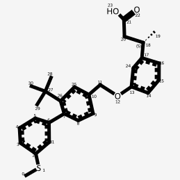 CSc1cccc(-c2ccc(COc3cccc([C@@H](C)CC(=O)O)c3)cc2C(C)(C)C)c1